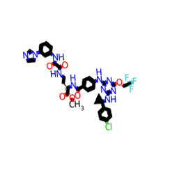 COC(=O)[C@H](CCNC(=O)C(=O)Nc1cccc(-n2ccnc2)c1)NC(=O)c1ccc(Nc2nc(NC3(c4ccc(Cl)cc4)CC3)nc(OCC(F)(F)F)n2)cc1